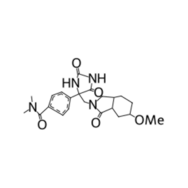 COC1CCC2CN(CC3(c4ccc(C(=O)N(C)C)cc4)NC(=O)NC3=O)C(=O)C2C1